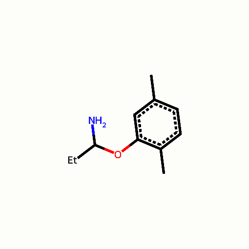 CCC(N)Oc1cc(C)ccc1C